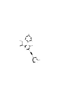 C=C(CC)c1nc(C#Cc2ccnc(Cl)c2)c(C)n1-c1ccc(F)cc1F